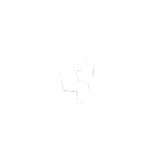 C=CC=C.OCCO.OCCO